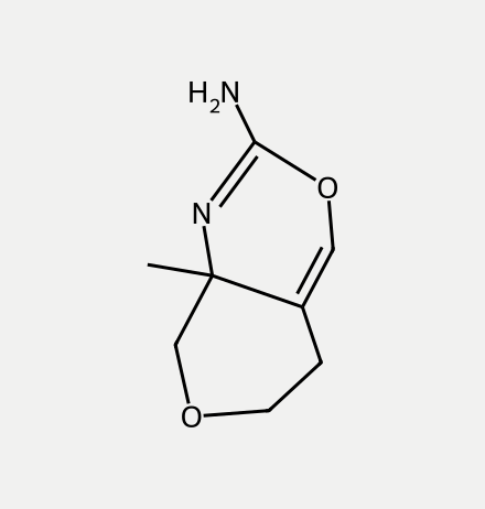 CC12COCCC1=COC(N)=N2